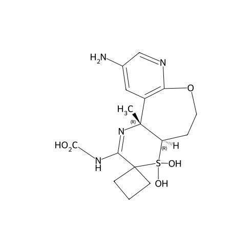 C[C@]12N=C(NC(=O)O)C3(CCC3)S(O)(O)[C@@H]1CCOc1ncc(N)cc12